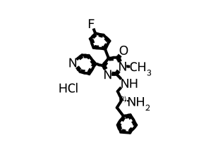 Cl.Cn1c(NC[C@H](N)Cc2ccccc2)nc(-c2ccncc2)c(-c2ccc(F)cc2)c1=O